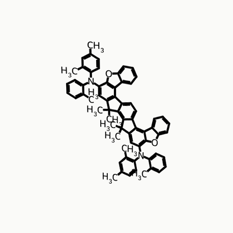 Cc1ccc(N(c2ccccc2C)c2cc3c(c4c2oc2ccccc24)-c2ccc4c(c2C3(C)C)C(C)(C)c2cc(N(c3ccccc3C)c3ccc(C)cc3C)c3oc5ccccc5c3c2-4)c(C)c1